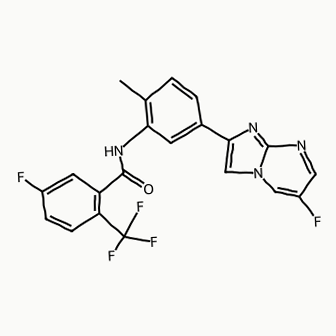 Cc1ccc(-c2cn3cc(F)cnc3n2)cc1NC(=O)c1cc(F)ccc1C(F)(F)F